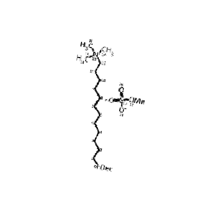 CCCCCCCCCCCCCCCCCCCCCC[N+](C)(C)C.COS(=O)(=O)[O-]